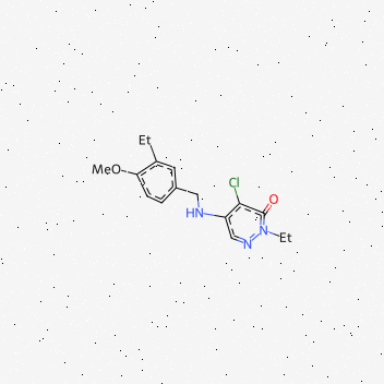 CCc1cc(CNc2cnn(CC)c(=O)c2Cl)ccc1OC